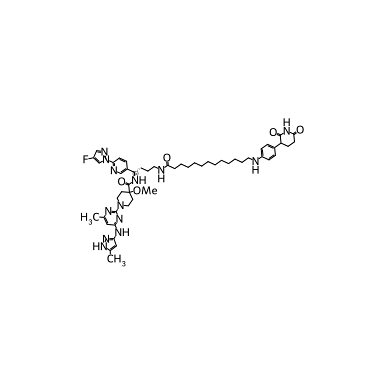 COC1(C(=O)N[C@@H](CCCNC(=O)CCCCCCCCCCCCNc2ccc(C3CCC(=O)NC3=O)cc2)c2ccc(-n3cc(F)cn3)nc2)CCN(c2nc(C)cc(Nc3cc(C)[nH]n3)n2)CC1